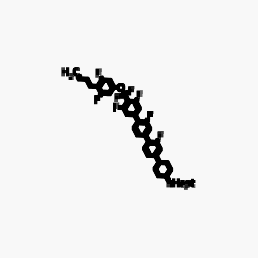 C=CCCc1c(F)cc(OC(F)(F)c2c(F)cc(-c3ccc(-c4ccc(C5CCC(CCCCCCC)CC5)cc4F)cc3F)cc2F)cc1F